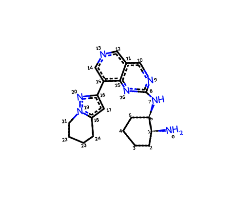 N[C@H]1CCCC[C@H]1Nc1ncc2cncc(-c3cc4n(n3)CCCC4)c2n1